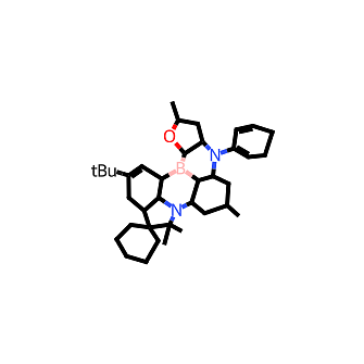 CC1CC2C3B(C4C=C(C(C)(C)C)CC5C4N(C3C1)C(C)(C)C51CCCCC1)C1OC(C)CC1N2C1=CCCC=C1